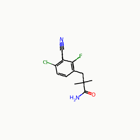 CC(C)(Cc1ccc(Cl)c(C#N)c1F)C(N)=O